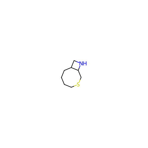 C1CCC2CNC2CSC1